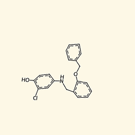 Oc1ccc(NCc2ccccc2OCc2ccccc2)cc1Cl